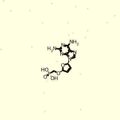 Nc1nc(N)c2ncn([C@H]3C=C[C@@H](OCP(=O)(O)O)O3)c2n1